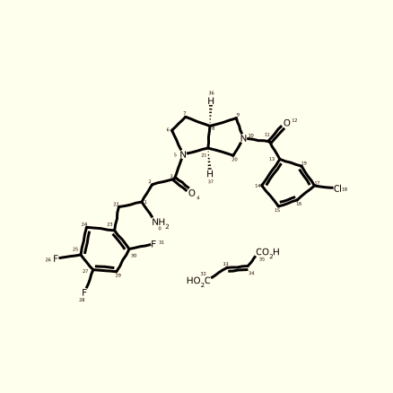 NC(CC(=O)N1CC[C@H]2CN(C(=O)c3cccc(Cl)c3)C[C@H]21)Cc1cc(F)c(F)cc1F.O=C(O)C=CC(=O)O